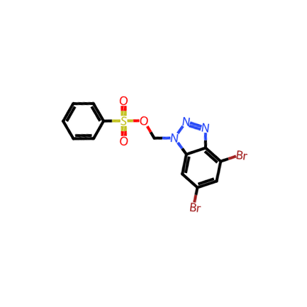 O=S(=O)(OCn1nnc2c(Br)cc(Br)cc21)c1ccccc1